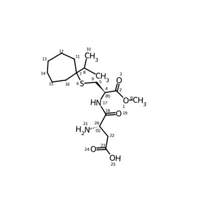 COC(=O)[C@H](CSC1(C(C)C)CCCCCC1)NC(=O)[C@@H](N)CC(=O)O